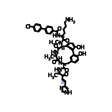 C[C@H](NC(=O)[C@@H]1Cc2ccc(O)c(c2)-c2cc(ccc2O)[C@H](N(C)C(=O)[C@H](CCCCN)NC(=O)c2ccc(-c3ccc(Cl)cc3)cc2)C(=O)N[C@@H](C)C(=O)N1)C(=O)/C=C/c1c[nH]cn1